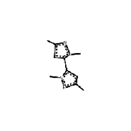 Cc1cc(-c2cc(C)nn2C)n(C)n1